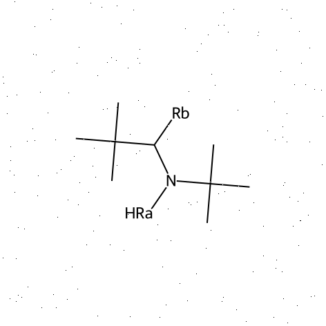 CC(C)(C)[CH]([Rb])[N]([RaH])C(C)(C)C